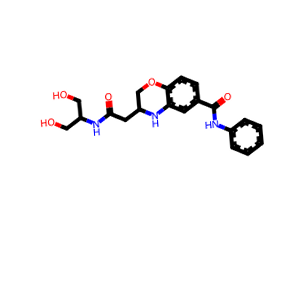 O=C(CC1COc2ccc(C(=O)Nc3ccccc3)cc2N1)NC(CO)CO